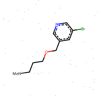 CNCCCOCc1cncc(Br)c1